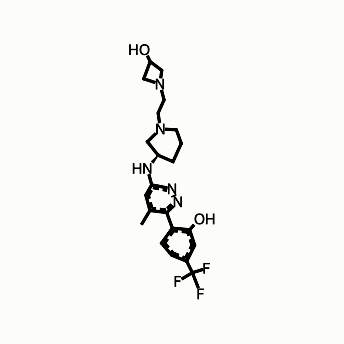 Cc1cc(N[C@@H]2CCCN(CCN3CC(O)C3)C2)nnc1-c1ccc(C(F)(F)F)cc1O